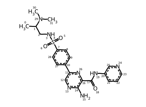 CC(CNS(=O)(=O)c1ccc(-c2cnc(N)c(C(=O)Nc3cccnc3)n2)cc1)N(C)C